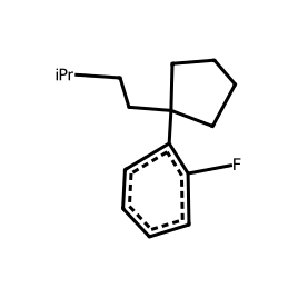 CC(C)CCC1(c2ccccc2F)CCCC1